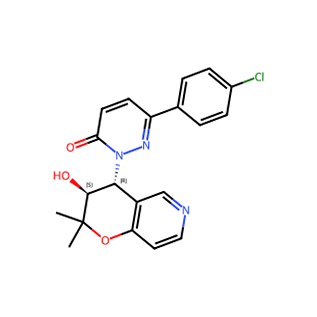 CC1(C)Oc2ccncc2[C@@H](n2nc(-c3ccc(Cl)cc3)ccc2=O)[C@@H]1O